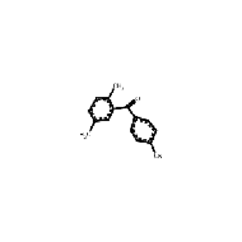 Cc1ccc(C)c(C(=O)c2ccc(C#N)cc2)c1